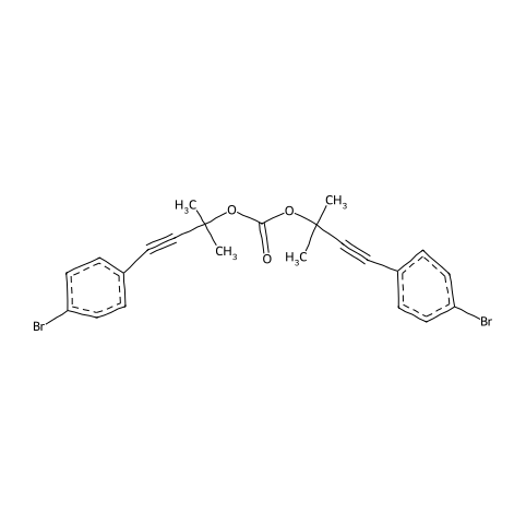 CC(C)(C#Cc1ccc(Br)cc1)OC(=O)OC(C)(C)C#Cc1ccc(Br)cc1